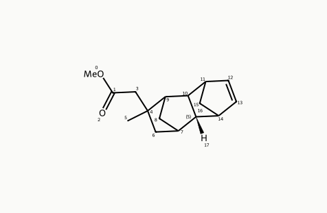 COC(=O)CC1(C)CC2CC1C1C3C=CC(C3)[C@H]21